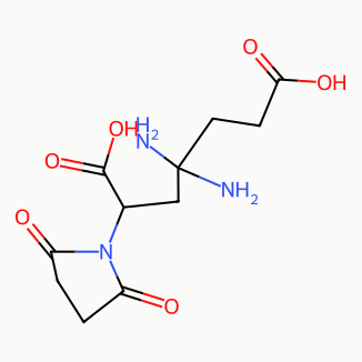 NC(N)(CCC(=O)O)CC(C(=O)O)N1C(=O)CCC1=O